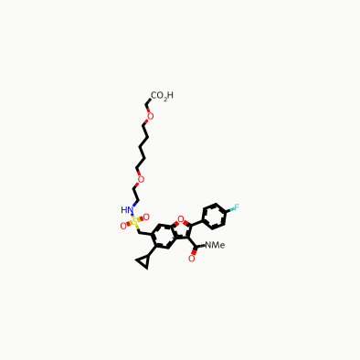 CNC(=O)c1c(-c2ccc(F)cc2)oc2cc(CS(=O)(=O)NCCOCCCCCOCC(=O)O)c(C3CC3)cc12